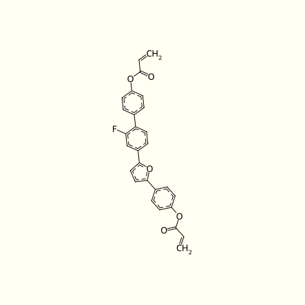 C=CC(=O)Oc1ccc(-c2ccc(-c3ccc(-c4ccc(OC(=O)C=C)cc4)c(F)c3)o2)cc1